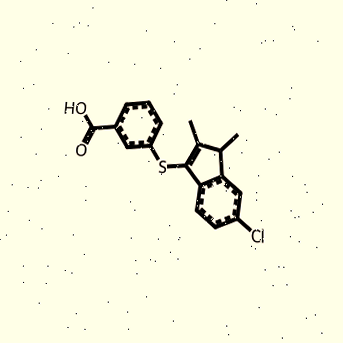 CC1=C(Sc2cccc(C(=O)O)c2)c2ccc(Cl)cc2C1C